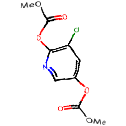 COC(=O)Oc1cnc(OC(=O)OC)c(Cl)c1